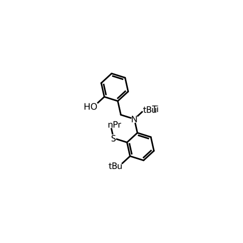 CCCSc1c(N(Cc2ccccc2O)C(C)(C)C)cccc1C(C)(C)C.[Ti]